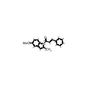 COc1ccc2c([c]c(C)n2C(=O)C=Cc2ccccc2)c1